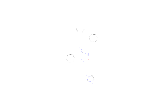 O=C1N/C(=N\CCC(C2=CCCC=C2)c2ccccc2)C(c2ccccc2)N1CCCn1ccnc1